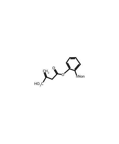 C=C(CC(=O)Oc1ccccc1CCCCCCCCC)C(=O)O